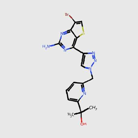 CC(C)(O)c1cccc(Cn2cc(-c3nc(N)nc4c(Br)csc34)nn2)n1